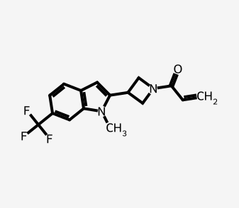 C=CC(=O)N1CC(c2cc3ccc(C(F)(F)F)cc3n2C)C1